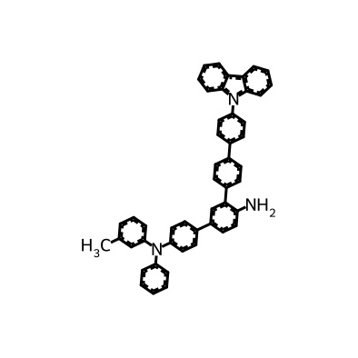 Cc1cccc(N(c2ccccc2)c2ccc(-c3ccc(N)c(-c4ccc(-c5ccc(-n6c7ccccc7c7ccccc76)cc5)cc4)c3)cc2)c1